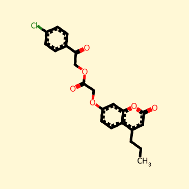 CCCc1cc(=O)oc2cc(OCC(=O)OCC(=O)c3ccc(Cl)cc3)ccc12